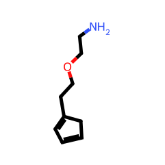 NCCOCCC1=CC=CC1